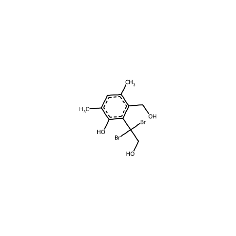 Cc1cc(C)c(CO)c(C(Br)(Br)CO)c1O